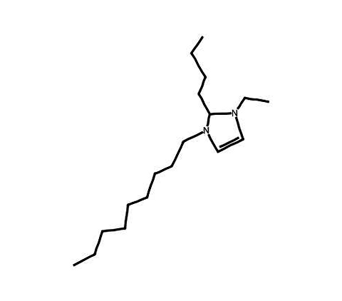 CCCCCCCCCN1C=CN(CC)C1CCCC